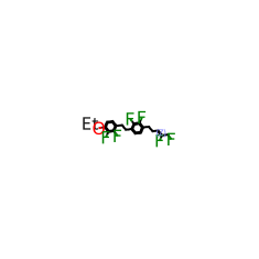 CCOc1ccc(CCc2ccc(CC/C=C(\F)CF)c(F)c2F)c(F)c1F